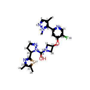 Cc1cnn(C)c1-c1cc(OC2CN(C(O)N3N=CCC3c3nc(C)c(C)s3)C2)c(F)cn1